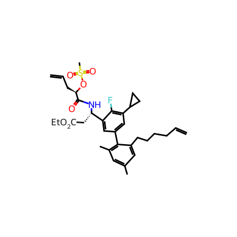 C=CCCCCc1cc(C)cc(C)c1-c1cc(C2CC2)c(F)c([C@H](CC(=O)OCC)NC(=O)[C@@H](CC=C)OS(C)(=O)=O)c1